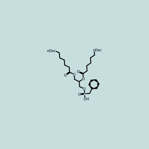 CCCCCCCCCCCCCCCC(=O)OCC(COP(=O)(O)Cc1ccccc1)OC(=O)CCCCCCCCCCCCCCC